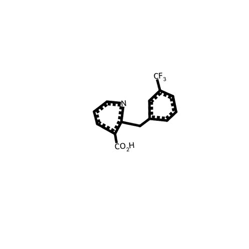 O=C(O)c1cccnc1Cc1cccc(C(F)(F)F)c1